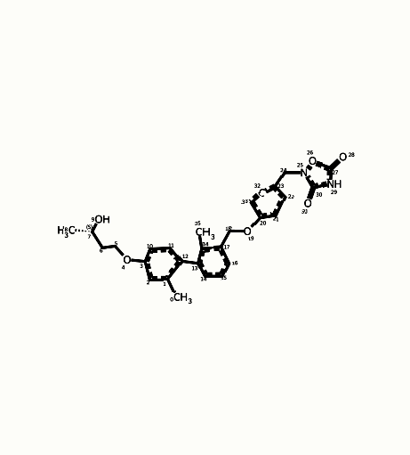 Cc1cc(OCC[C@H](C)O)ccc1-c1cccc(COc2ccc(Cn3oc(=O)[nH]c3=O)cc2)c1C